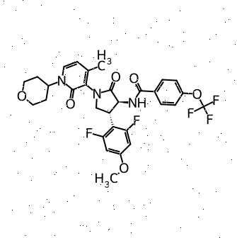 COc1cc(F)c([C@@H]2CN(c3c(C)ccn(C4CCOCC4)c3=O)C(=O)[C@H]2NC(=O)c2ccc(OC(F)(F)F)cc2)c(F)c1